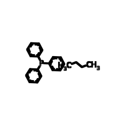 CCCC.c1ccc(P(c2ccccc2)c2ccccc2)cc1